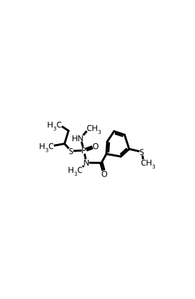 CCC(C)SP(=O)(NC)N(C)C(=O)c1cccc(SC)c1